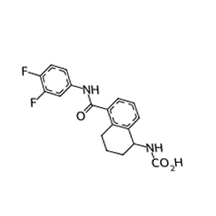 O=C(O)NC1CCCc2c(C(=O)Nc3ccc(F)c(F)c3)cccc21